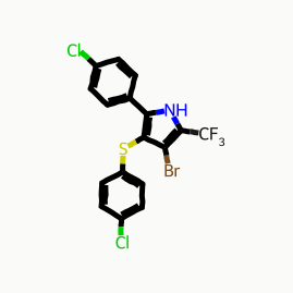 FC(F)(F)c1[nH]c(-c2ccc(Cl)cc2)c(Sc2ccc(Cl)cc2)c1Br